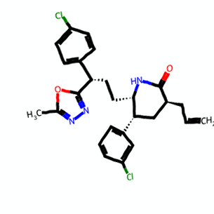 C=CC[C@H]1C[C@H](c2cccc(Cl)c2)[C@H](CC[C@@H](c2ccc(Cl)cc2)c2nnc(C)o2)NC1=O